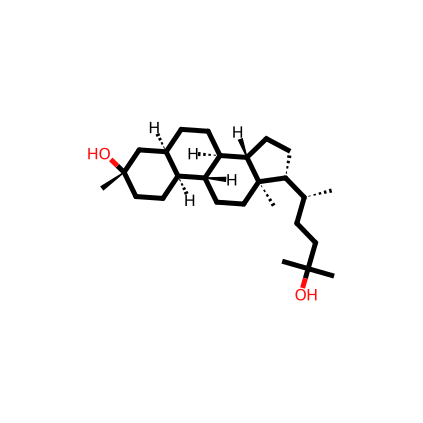 C[C@H](CCC(C)(C)O)[C@H]1CC[C@H]2[C@@H]3CC[C@@H]4C[C@@](C)(O)CC[C@@H]4[C@H]3CC[C@]12C